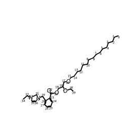 CCCCCCCCCCCCCCCCOCC(COC(=O)c1ccccc1CN1[CH]N(CC)C=C1)OCC